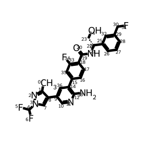 Cc1nn(C(F)F)cc1-c1cnc(N)c(-c2ccc(C(=O)N[C@H](CO)c3cccc(CF)c3)c(F)c2)c1